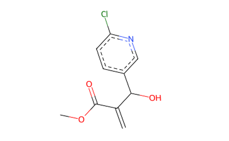 C=C(C(=O)OC)C(O)c1ccc(Cl)nc1